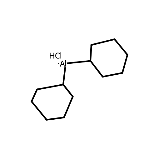 C1CC[CH]([Al][CH]2CCCCC2)CC1.Cl